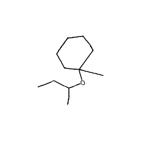 CCC(C)OC1(C)CCCCC1